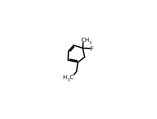 CCC1=CC=CC(C)(F)C1